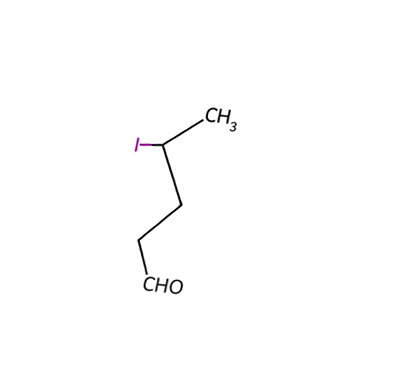 CC(I)CCC=O